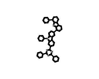 c1ccc(-c2nc(-c3ccccc3)nc(-c3ccc4c5cc(-c6cccc7c6sc6c(-c8ccccc8)cccc67)ccc5n(-c5ccccc5)c4c3)n2)cc1